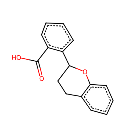 O=C(O)c1ccccc1C1CCc2ccccc2O1